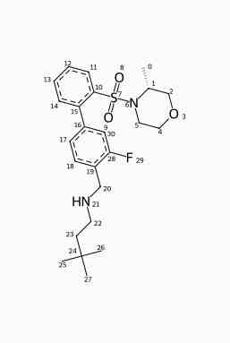 C[C@@H]1COCCN1S(=O)(=O)c1ccccc1-c1ccc(CNCCC(C)(C)C)c(F)c1